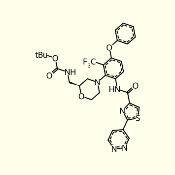 CC(C)(C)OC(=O)NC[C@H]1CN(c2c(NC(=O)c3csc(-c4ccnnc4)n3)ccc(Oc3ccccc3)c2C(F)(F)F)CCO1